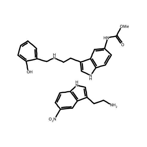 COC(=O)Nc1ccc2[nH]cc(CCNCc3ccccc3O)c2c1.NCCc1c[nH]c2ccc([N+](=O)[O-])cc12